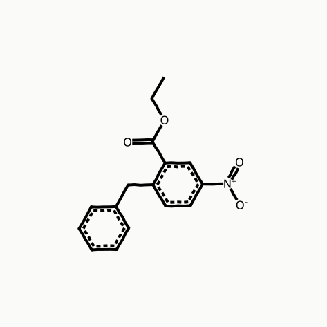 CCOC(=O)c1cc([N+](=O)[O-])ccc1Cc1ccccc1